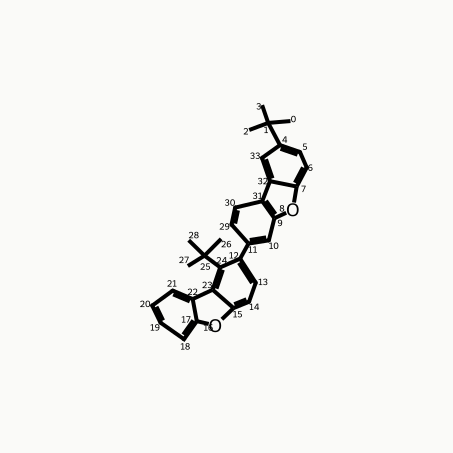 CC(C)(C)c1ccc2oc3cc(-c4ccc5oc6ccccc6c5c4C(C)(C)C)ccc3c2c1